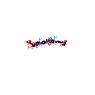 C/C(=N\NC(=O)c1ccc(NC(=O)CCCCCN2C(=O)C=CC2=O)cc1[N+](=O)[O-])c1ccc(C(=O)Nc2ccn([C@H]3C[C@@H](O)[C@@H](COP(=O)(O)O)O3)c(=O)n2)cc1